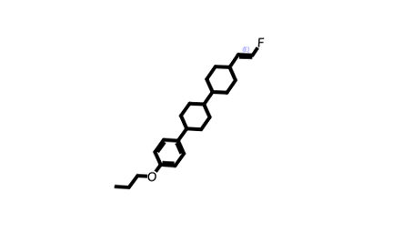 CCCOc1ccc(C2CCC(C3CCC(/C=C/F)CC3)CC2)cc1